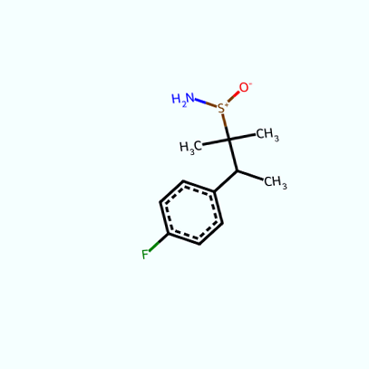 CC(c1ccc(F)cc1)C(C)(C)[S+](N)[O-]